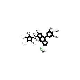 COc1c(C(C)(C)C)cc(-c2c3c(cc4c2CCC4)C([Si](C)(C)C2C(C)=C(C)C(C)=C2C)C(C)=C3)cc1C(C)(C)C.[Cl-].[Cl-].[Zr+2]